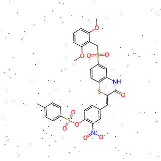 COc1cccc(OC)c1CS(=O)(=O)c1ccc2c(c1)NC(=O)/C(=C/c1ccc(OS(=O)(=O)c3ccc(C)cc3)c([N+](=O)[O-])c1)S2